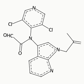 C=C(C)Cn1cc(N(C(=O)C=O)c2c(Cl)cncc2Cl)c2cccnc21